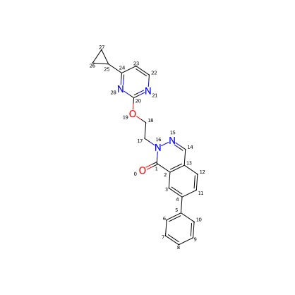 O=c1c2cc(-c3ccccc3)ccc2cnn1CCOc1nccc(C2CC2)n1